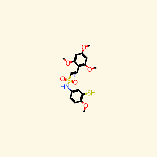 COc1cc(OC)c(/C=C/S(=O)(=O)Nc2ccc(OC)c(S)c2)c(OC)c1